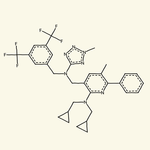 Cc1cc(CN(Cc2cc(C(F)(F)F)cc(C(F)(F)F)c2)c2nnn(C)n2)c(N(CC2CC2)CC2CC2)nc1-c1ccccc1